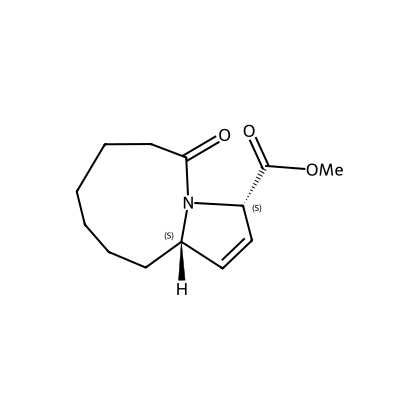 COC(=O)[C@@H]1C=C[C@@H]2CCCCCCC(=O)N21